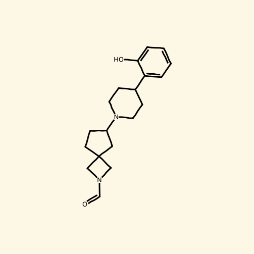 O=CN1CC2(CCC(N3CCC(c4ccccc4O)CC3)C2)C1